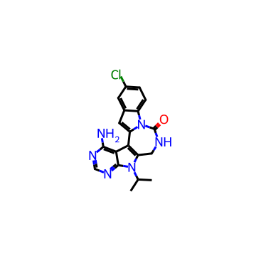 CC(C)n1c2c(c3c(N)ncnc31)-c1cc3cc(Cl)ccc3n1C(=O)NC2